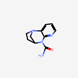 NC(=O)N1c2ncccc2N2CCC1C2